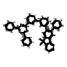 CC1(C)c2ccccc2-c2cc(-c3ccccc3)c(-c3cccc(-c4cccc(-c5nc(-c6ccccc6)nc(-c6ccccc6)n5)c4)c3)cc21